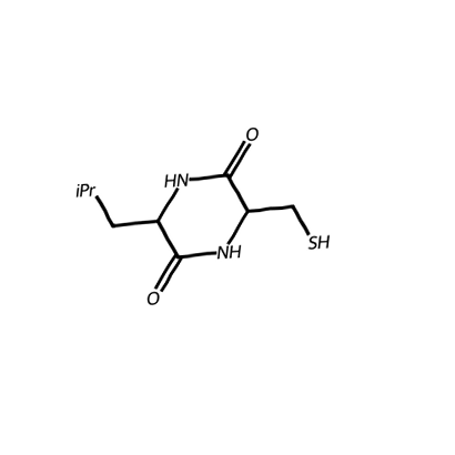 CC(C)CC1NC(=O)C(CS)NC1=O